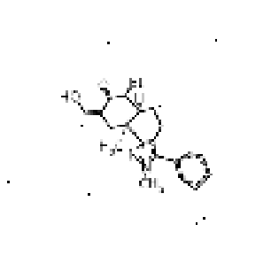 CC[C@@H]1C(=O)/C(=C\O)C[C@]2(C)c3nn(C)c(-c4ccccc4)c3CC[C@@H]12